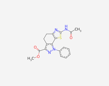 COC(=O)c1nn(-c2ccccc2)c2c1CCc1nc(NC(C)=O)sc1-2